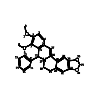 COc1ccc2c(c1OC)C(c1ccccc1)N1CCc3cc4c(cc3C1=C2)OCO4